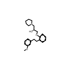 COc1cccc(CCc2ccccc2OC[C@@H](O)CN2CCCCC2)c1